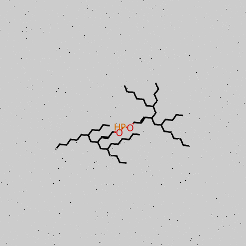 CCCCCCC(CCCC)CC(C=CCOPOCC=CC(CC(CCCC)CCCCCC)CC(CCCC)CCCCCC)CC(CCCC)CCCCCC